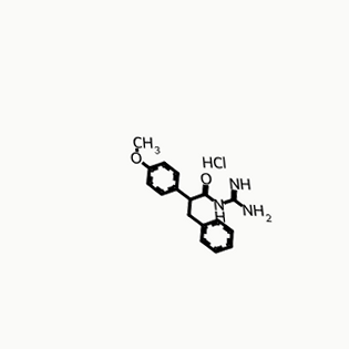 COc1ccc(C(Cc2ccccc2)C(=O)NC(=N)N)cc1.Cl